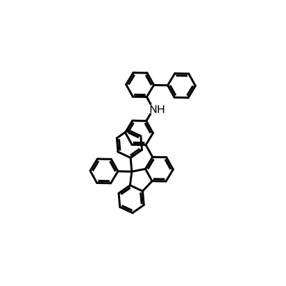 c1ccc(-c2ccccc2Nc2cccc(-c3cccc4c3C(c3ccccc3)(c3ccccc3)c3ccccc3-4)c2)cc1